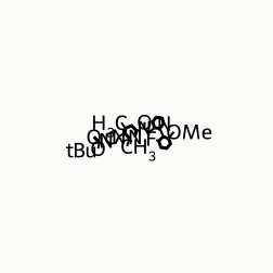 COc1cccc(F)c1-c1nccc2c1CN(c1cc(C)c(N3CCN(C(=O)OC(C)(C)C)CC3)c(C)n1)O2